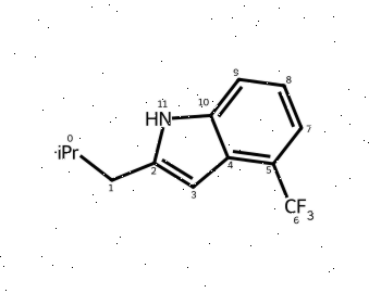 C[C](C)Cc1cc2c(C(F)(F)F)cccc2[nH]1